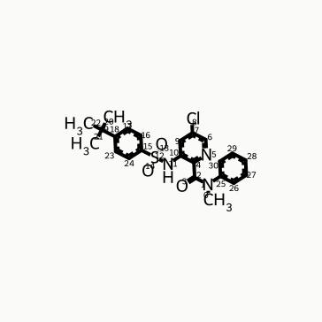 CN(C(=O)c1ncc(Cl)cc1NS(=O)(=O)c1ccc(C(C)(C)C)cc1)c1ccccc1